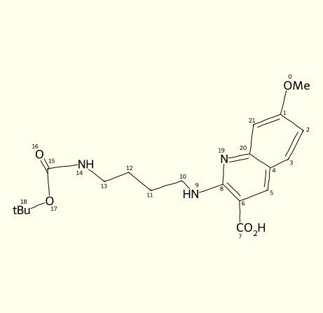 COc1ccc2cc(C(=O)O)c(NCCCCNC(=O)OC(C)(C)C)nc2c1